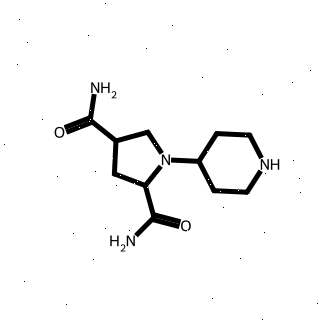 NC(=O)C1CC(C(N)=O)N(C2CCNCC2)C1